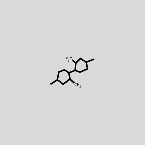 CC1CCC(C2CCC(C)CC2C(F)(F)F)C(C(F)(F)F)C1